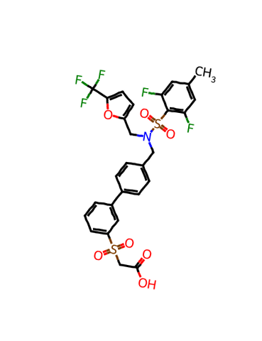 Cc1cc(F)c(S(=O)(=O)N(Cc2ccc(-c3cccc(S(=O)(=O)CC(=O)O)c3)cc2)Cc2ccc(C(F)(F)F)o2)c(F)c1